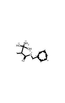 CC(C(=O)OCc1ccccc1)C(N)(O)O